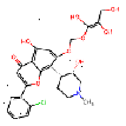 CN1CC[C@H](c2c(OCO/C(O)=C(\O)CO)cc(O)c3c(=O)cc(-c4ccccc4Cl)oc23)[C@H](O)C1